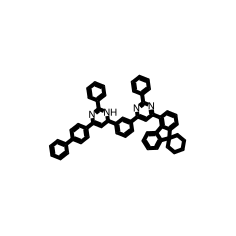 C1=C(c2ccc(-c3ccccc3)cc2)N=C(c2ccccc2)NC1c1cccc(-c2cc(-c3cccc4c3-c3ccccc3C43CCCCC3)nc(-c3ccccc3)n2)c1